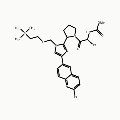 COC(=O)N[C@H](C(=O)N1CCCC1c1nc(-c2ccc3nc(Cl)ccc3c2)cn1COCC[Si](C)(C)C)C(C)C